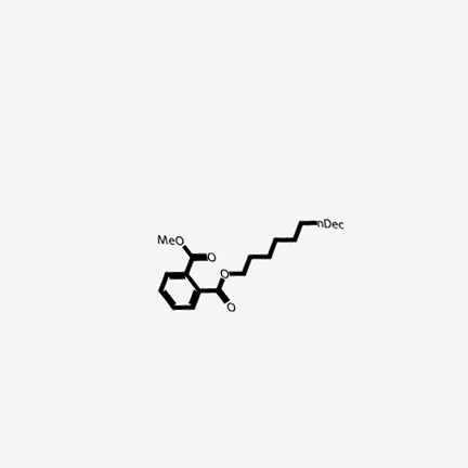 CCCCCCCCCCCCCCCCOC(=O)c1ccccc1C(=O)OC